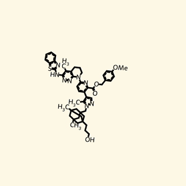 COc1ccc(COC(=O)c2nc(N3CCCc4c3nnc(Nc3nc5ccccc5s3)c4C)ccc2-c2cnn(CC34CC5(C)CC(C)(CC(CCCO)(C5)C3)C4)c2C)cc1